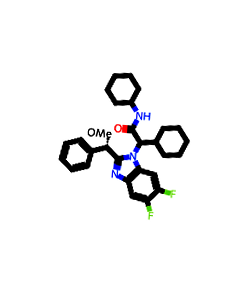 CO[C@@H](c1ccccc1)c1nc2cc(F)c(F)cc2n1C(C(=O)NC1CCCCC1)C1CCCCC1